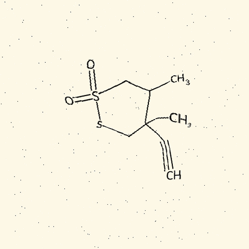 C#CC1(C)CSS(=O)(=O)CC1C